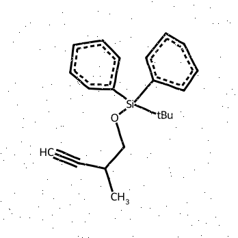 C#CC(C)CO[Si](c1ccccc1)(c1ccccc1)C(C)(C)C